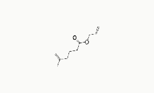 C=CCOC(=O)CCCC(=C)C